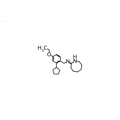 CCOc1ccc(C/N=C2\CCCCCCN2)c(C2CCCC2)c1